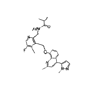 Cc1cc(-c2ccnn2C)c2cccc(OCc3c(CNC(=O)C(C)C)ncc(F)c3C)c2n1